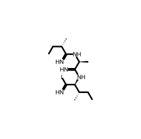 CC[C@H](C)C(=N)N[C@@H](C)C(=N)N[C@H](C(=N)I)[C@@H](C)CC